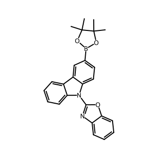 CC1(C)OB(c2ccc3c(c2)c2ccccc2n3-c2nc3ccccc3o2)OC1(C)C